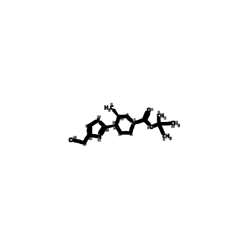 C[C@H]1CN(C(=O)OC(C)(C)C)CC[C@H]1c1nc(CCl)cs1